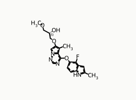 COC[C@H](O)COc1cn2ncnc(Oc3ccc4[nH]c(C)cc4c3F)c2c1C